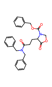 O=C1OCN(C(=O)OCc2ccccc2)C1CCC(=O)N(Cc1ccccc1)Cc1ccccc1